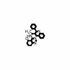 C[C@H](Nc1ncnc2c1C(=O)C=CC2)c1cc2ccccc2nc1-c1ccccc1